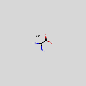 NC(N)C(=O)[O-].[Cu+]